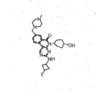 CN1CCN(Cc2ccc3c(c2)c(=O)n([C@H]2CC[C@H](O)CC2)c2nc(NC4CC(F)C4)ncc32)CC1